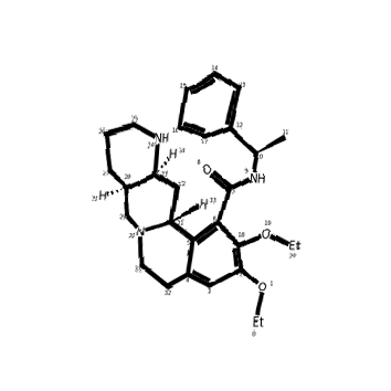 CCOc1cc2c(c(C(=O)N[C@H](C)c3ccccc3)c1OCC)[C@H]1C[C@@H]3NCCC[C@@H]3CN1CC2